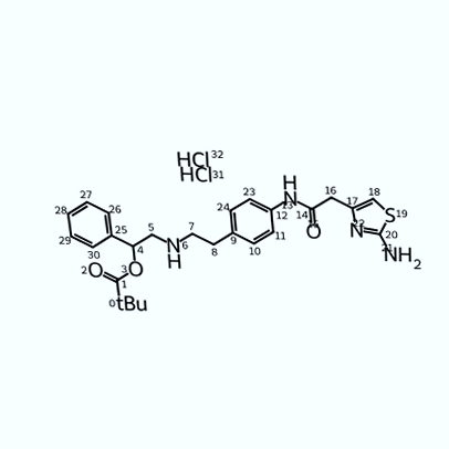 CC(C)(C)C(=O)OC(CNCCc1ccc(NC(=O)Cc2csc(N)n2)cc1)c1ccccc1.Cl.Cl